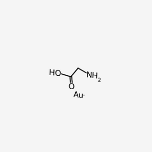 NCC(=O)O.[Au]